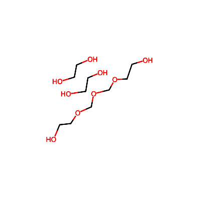 OCCO.OCCO.OCCOCOCOCCO